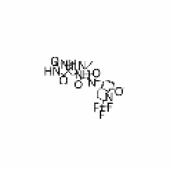 COc1ccc(-c2nc(C(=O)NCC3(C)NC(=O)NC3=O)c([C@H](C)N)o2)c2ccc(C(F)(F)F)nc12